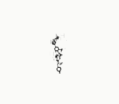 C[C@H](N(Cc1ccc(F)cc1)C(=O)CN1C(=O)N[C@]2(CC(=O)c3cc(-c4cnn(CC(N)=O)c4)ccc32)C1=O)C(F)(F)F